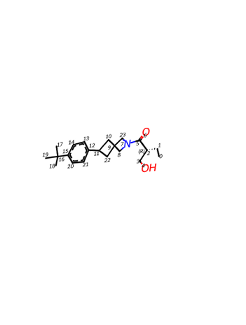 CC[C@H](CO)C(=O)N1CC2(CC(c3ccc(C(C)(C)C)cc3)C2)C1